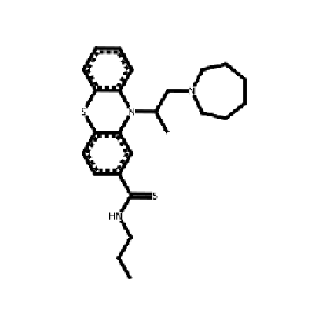 CCCNC(=S)c1ccc2c(c1)N(C(C)CN1CCCCCC1)c1ccccc1S2